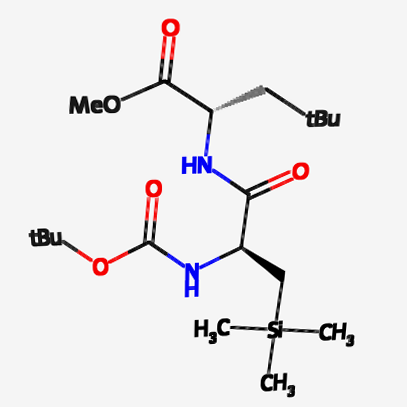 COC(=O)[C@H](CC(C)(C)C)NC(=O)[C@@H](C[Si](C)(C)C)NC(=O)OC(C)(C)C